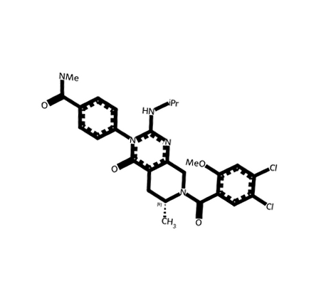 CNC(=O)c1ccc(-n2c(NC(C)C)nc3c(c2=O)C[C@@H](C)N(C(=O)c2cc(Cl)c(Cl)cc2OC)C3)cc1